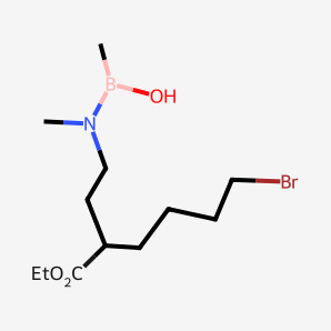 CCOC(=O)C(CCCCBr)CCN(C)B(C)O